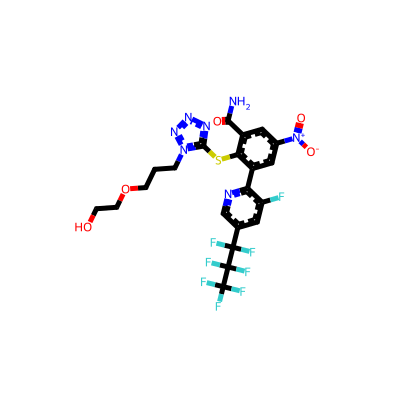 NC(=O)c1cc([N+](=O)[O-])cc(-c2ncc(C(F)(F)C(F)(F)C(F)(F)F)cc2F)c1Sc1nnnn1CCCOCCO